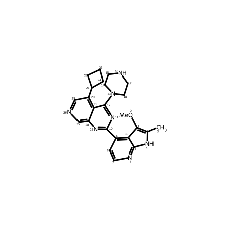 COc1c(C)[nH]c2nccc(-c3nc(N4CCNCC4)c4c(C5CCC5)cncc4n3)c12